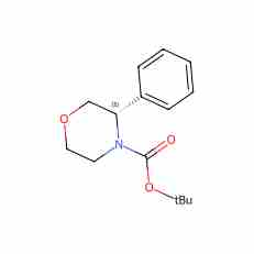 CC(C)(C)OC(=O)N1CCOC[C@@H]1c1ccccc1